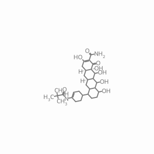 CC(C)(C)C(=O)NC1=CCC(C2CCC(O)C3C(O)C4C(O)[C@]5(O)C(=O)C(C(N)=O)=C(O)C[C@@H]5C[C@@H]4CC23)CC1